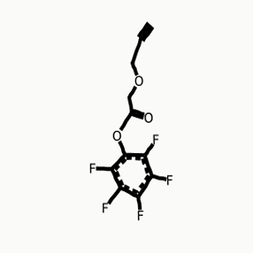 C#CCOCC(=O)Oc1c(F)c(F)c(F)c(F)c1F